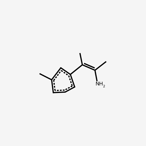 C/C(N)=C(\C)c1cccc(C)c1